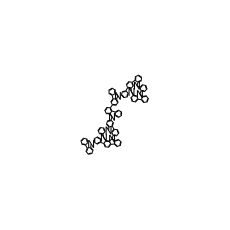 c1ccc2c(c1)c1ccccc1n2-c1ccc2c(c1)c1ccc3c4ccccc4n4c5cccc6c7cc(-n8c9ccccc9c9c(-c%10ccc%11c(c%10)c%10ccccc%10n%11-c%10ccc%11c(c%10)c%10ccc%12c%13ccccc%13n%13c%14ccccc%14n%14c%15ccccc%15c%15cccc(c%15%14)n%11c%10c%12%13)cccc98)ccc7n(c7ccccc7n2c1c34)c65